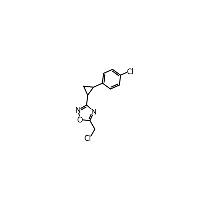 ClCc1nc(C2CC2c2ccc(Cl)cc2)no1